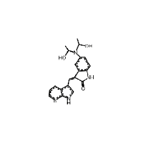 CC(O)N(c1ccc2c(c1)C(=Cc1c[nH]c3ncccc13)C(=O)N2)C(C)O